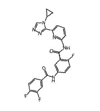 O=C(Nc1ccc(F)c(C(=O)Nc2cccc(-c3nncn3C3CC3)n2)c1)c1ccc(F)c(F)c1